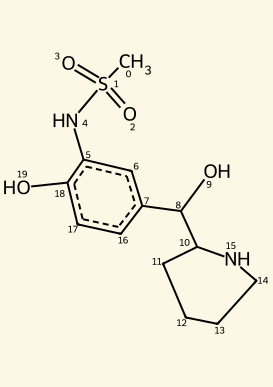 CS(=O)(=O)Nc1cc(C(O)C2CCCCN2)ccc1O